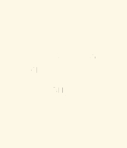 Bc1cc(C=O)sc1Cl